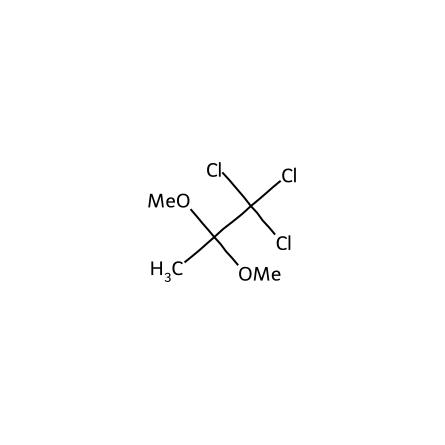 COC(C)(OC)C(Cl)(Cl)Cl